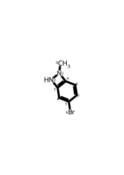 Cn1[nH]c2cc(Br)ccc21